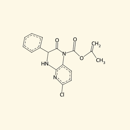 C=C(C)OC(=O)N1C(=O)C(c2ccccc2)Nc2nc(Cl)ccc21